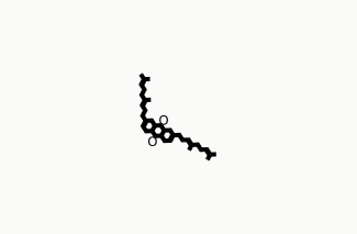 CC(C)=CCC/C(C)=C/CCC1=CCC2C(=O)C3CC=C(CC/C=C(\C)CCC=C(C)C)CC3C(=O)C2C1